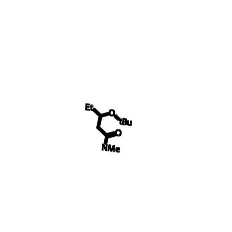 CCC(CC(=O)NC)OC(C)(C)C